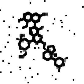 CCc1c(F)ccc2cc(O)cc(-c3ncc4c(N5C[C@H](CO)OC[C@@](C)(O)C5)nc(OC[C@]56CCC[C@H]5N(C5C[C@@H](C)O[C@@H](C)C5)CCC6)nc4c3F)c12